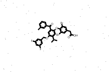 Cc1cccc(C(=O)c2cc(OCc3cc(F)cc(F)c3)c(C(C)C)cc2Oc2c(Br)cc(CC(=O)O)cc2Br)c1